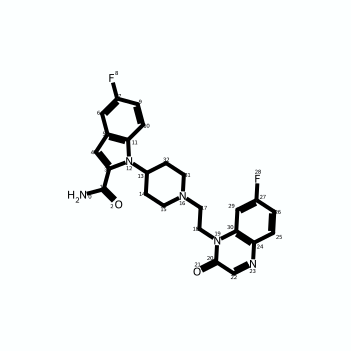 NC(=O)c1cc2cc(F)ccc2n1C1CCN(CCn2c(=O)cnc3ccc(F)cc32)CC1